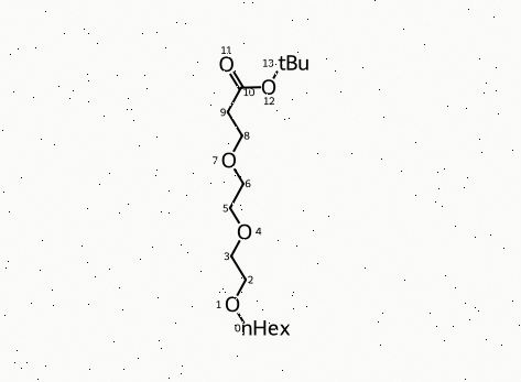 CCCCCCOCCOCCOCCC(=O)OC(C)(C)C